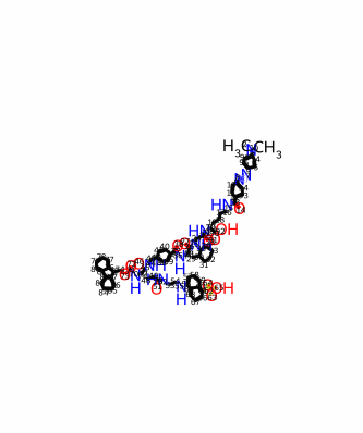 CN(C)c1ccc(/N=N/c2ccc(C(=O)NCCCC[C@H](NC(=O)CNC(=O)[C@H](CC3CCCCC3)NC(=O)c3ccc(CNC(=O)[C@H](CCC(=O)NCCNc4cccc5c(S(=O)(=O)O)cccc45)NC(=O)OCC4c5ccccc5-c5ccccc54)cc3)C(=O)O)cc2)cc1